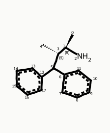 C[C@@H](N)[C@@H](C)C(c1ccccc1)c1ccccc1